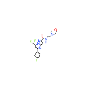 O=C(NCCN1CCOCC1)c1cc2nc(-c3ccc(F)cc3)cc(C(F)(F)F)n2n1